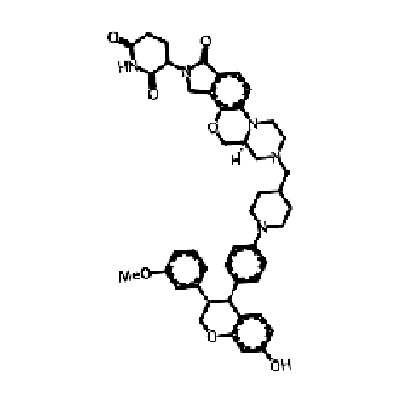 COc1cccc([C@@H]2COc3cc(O)ccc3[C@@H]2c2ccc(N3CCC(CN4CCN5c6ccc7c(c6OC[C@@H]5C4)CN(C4CCC(=O)NC4=O)C7=O)CC3)cc2)c1